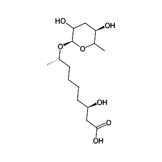 CC1O[C@@H](O[C@@H](C)CCCC[C@@H](O)CC(=O)O)C(O)C[C@H]1O